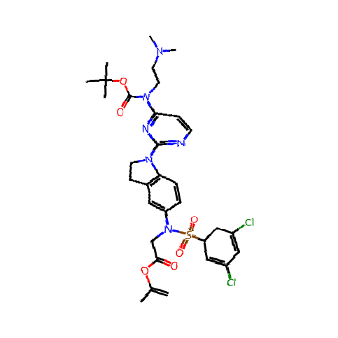 C=C(C)OC(=O)CN(c1ccc2c(c1)CCN2c1nccc(N(CCN(C)C)C(=O)OC(C)(C)C)n1)S(=O)(=O)C1C=C(Cl)C=C(Cl)C1